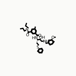 CCCN(CCC)C(=O)c1cc(C)cc(C(=O)N[C@@H](CCSc2ccccc2)[C@H](O)CNCc2cccc(OC)c2)c1